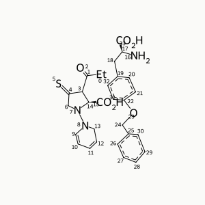 CCC(=O)C1C(=S)CN(N2C=CC=CC2)[C@@H]1C(=O)O.N[C@@H](Cc1ccc(OCc2ccccc2)cc1)C(=O)O